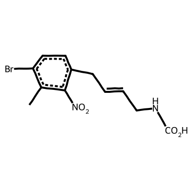 Cc1c(Br)ccc(C/C=C/CNC(=O)O)c1[N+](=O)[O-]